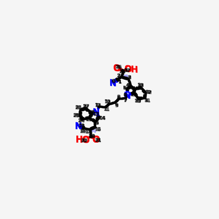 N#C/C(=C\c1cn(CCCCCCn2cc(/C=C(\C#N)C(=O)O)c3ccccc32)c2ccccc12)C(=O)O